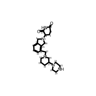 O=C1CCC(N2Cc3cccc(CN4CCCC(N5CCNCC5)C4)c3C2)C(=O)N1